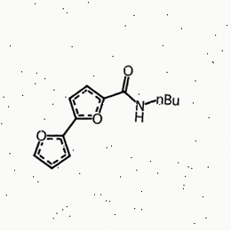 CCCCNC(=O)c1ccc(-c2ccco2)o1